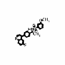 COc1cccc(S(=O)(=O)N[C@H](C)C2CCC(c3ccnc4ccc(F)cc34)CC2)c1